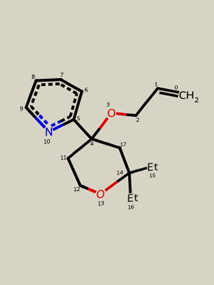 C=CCOC1(c2ccccn2)CCOC(CC)(CC)C1